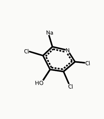 Oc1c(Cl)[c]([Na])nc(Cl)c1Cl